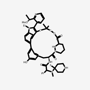 CCn1c(-c2cccnc2[C@H](C)OC)c2c3cc(ccc31)-c1cc(O)cc(c1)C[C@H](NC(=O)C(C(C)C)N(C)C1(F)CCNCC1)C(=O)N1CCC[C@H](N1)C(=O)OCC(C)(C)C2